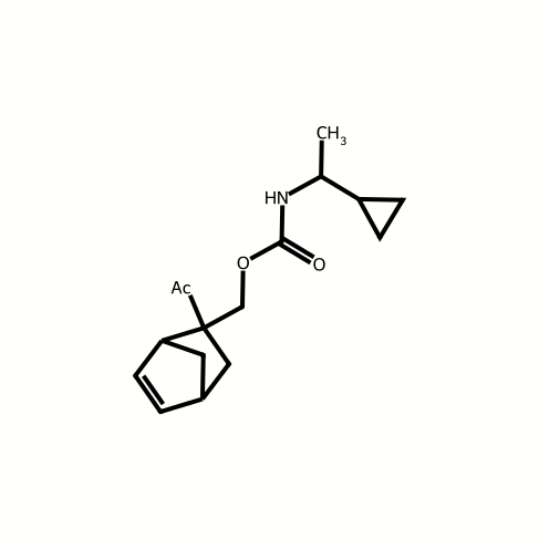 CC(=O)C1(COC(=O)NC(C)C2CC2)CC2C=CC1C2